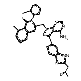 CC(=O)Cc1nc2ccc(-c3nn(Cc4cc5cccc(C)c5c(=O)n4-c4ccccc4C)c4ncnc(N)c34)cc2[nH]1